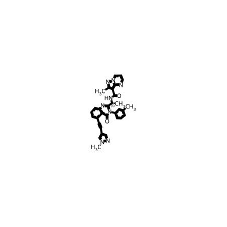 Cc1cccc(-n2c([C@H](C)NC(=O)c3c(C)nn4cccnc34)nc3cccc(C#Cc4cnn(C)c4)c3c2=O)c1